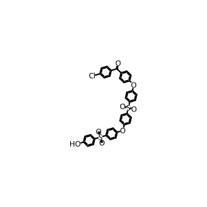 O=C(c1ccc(Cl)cc1)c1ccc(Oc2ccc(S(=O)(=O)c3ccc(Oc4ccc(S(=O)(=O)c5ccc(O)cc5)cc4)cc3)cc2)cc1